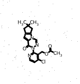 CC(=O)OCc1c(Cl)ccnc1-n1ncn2c3c(cc2c1=O)CC(C)(C)C3